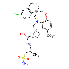 CC(/C=C/C(O)[C@@H]1CC[C@H]1CN1C[C@@]2(CCCc3cc(Cl)ccc32)COc2ccc(C(=O)O)cc21)CS(N)(=O)=O